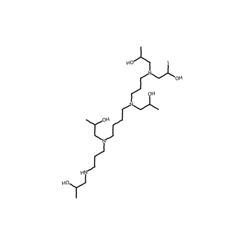 CC(O)CNCCCN(CCCCN(CCCN(CC(C)O)CC(O)I)CC(C)O)CC(C)O